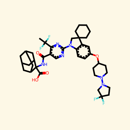 CC(F)(F)c1nc(N2CC3(CCCCC3)c3cc(OC4CCN(N5CCC(F)(F)C5)CC4)ccc32)ncc1C(=O)NC1(C(=O)O)C2CC3CC(C2)CC1C3